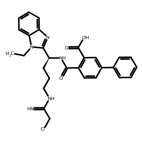 CCn1c([C@H](CCCNC(=N)CCl)NC(=O)c2ccc(-c3ccccc3)cc2C(=O)O)nc2ccccc21